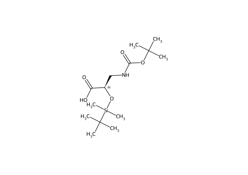 CC(C)(C)OC(=O)NC[C@@H](O[Si](C)(C)C(C)(C)C)C(=O)O